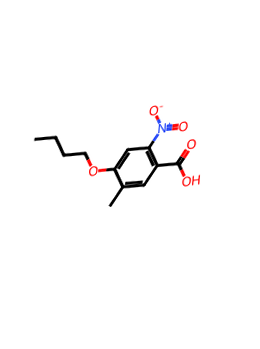 CCCCOc1cc([N+](=O)[O-])c(C(=O)O)cc1C